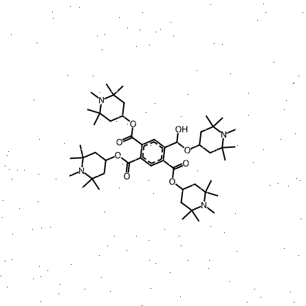 CN1C(C)(C)CC(OC(=O)c2cc(C(=O)OC3CC(C)(C)N(C)C(C)(C)C3)c(C(O)OC3CC(C)(C)N(C)C(C)(C)C3)cc2C(=O)OC2CC(C)(C)N(C)C(C)(C)C2)CC1(C)C